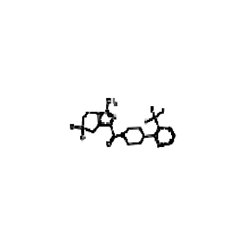 Cn1nc(C(=O)N2CCC(c3ccccc3C(F)(F)F)CC2)c2c1CCS(=O)(=O)C2